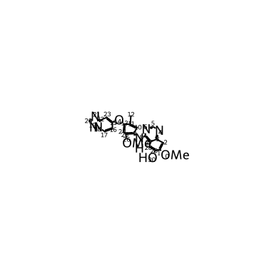 COc1cc2ncnc(Nc3cc(C)c(Oc4ccn5ncnc5c4)cc3OC)c2cc1O